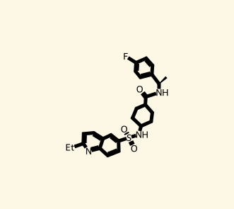 CCc1ccc2cc(S(=O)(=O)NC3CCC(C(=O)N[C@H](C)c4ccc(F)cc4)CC3)ccc2n1